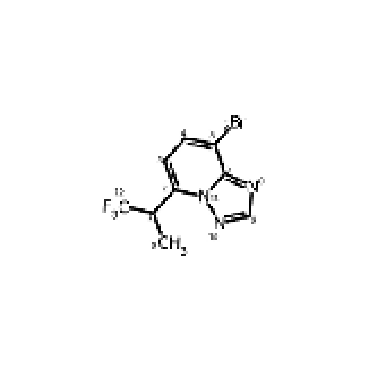 CC(c1ccc(Br)c2ncnn12)C(F)(F)F